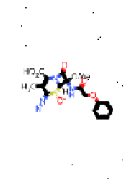 COC1(NC(=O)COc2ccccc2)C(=O)N2C(C(=O)O)=C(C)C(=[N+]=[N-])[S+]([O-])[C@@H]21